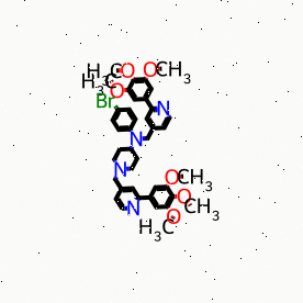 COc1cc(-c2cc(CN3CCC(N(Cc4ccnc(-c5cc(OC)c(OC)c(OC)c5)c4)c4ccc(Br)cc4)CC3)ccn2)cc(OC)c1OC